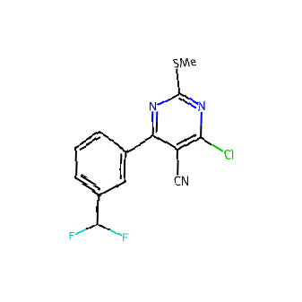 CSc1nc(Cl)c(C#N)c(-c2cccc(C(F)F)c2)n1